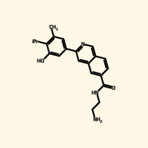 Cc1cc(-c2cc3cc(C(=O)NCCN)ccc3cn2)cc(O)c1C(C)C